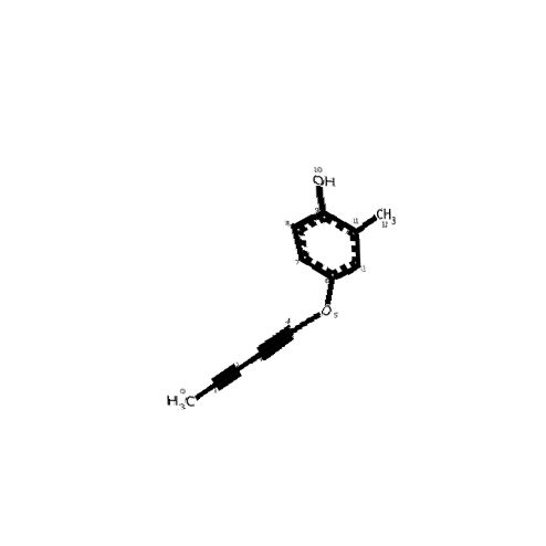 CC#CC#COc1ccc(O)c(C)c1